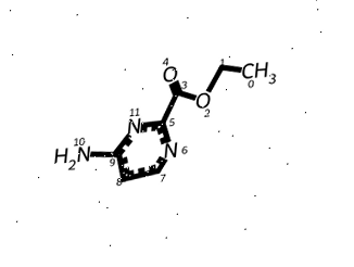 CCOC(=O)c1nccc(N)n1